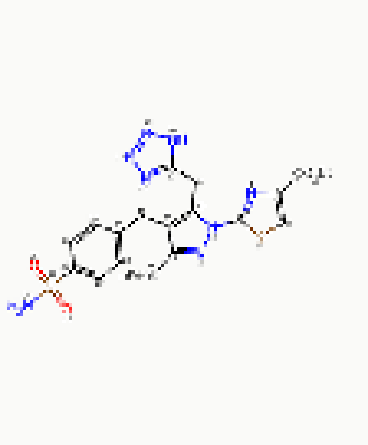 CCCCCc1nn(-c2nc(C(=O)OCC)cs2)c(Cc2nnn[nH]2)c1Cc1ccc(S(N)(=O)=O)cc1